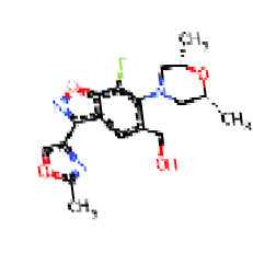 Cc1nc(-c2noc3c(F)c(N4C[C@@H](C)O[C@@H](C)C4)c(CO)cc23)co1